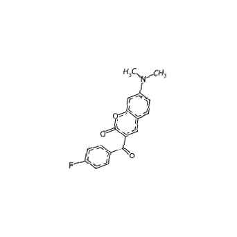 CN(C)c1ccc2cc(C(=O)c3ccc(F)cc3)c(=O)oc2c1